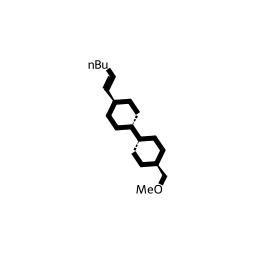 CCCCC=C[C@H]1CC[C@H]([C@H]2CC[C@H](COC)CC2)CC1